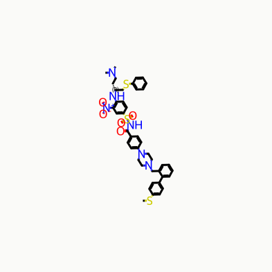 CSc1ccc(-c2ccccc2CN2CCN(c3ccc(C(=O)NS(=O)(=O)c4ccc(N[C@H](CCN(C)C)CSc5ccccc5)c([N+](=O)[O-])c4)cc3)CC2)cc1